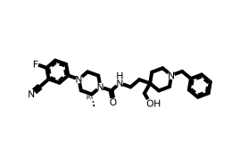 C[C@@H]1CN(c2ccc(F)c(C#N)c2)CCN1C(=O)NCCC1(CO)CCN(Cc2ccccc2)CC1